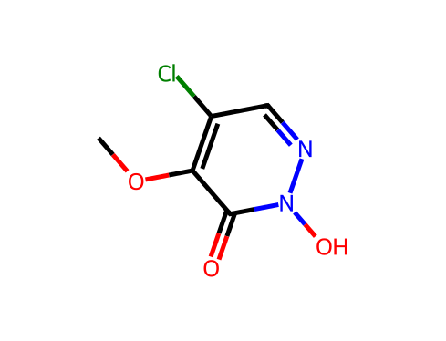 COc1c(Cl)cnn(O)c1=O